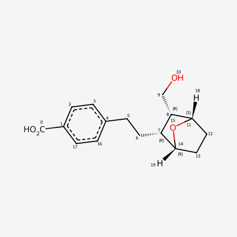 O=C(O)c1ccc(CC[C@@H]2[C@H](CO)[C@@H]3CC[C@H]2O3)cc1